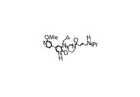 COc1cc(-c2c[nH]c(=O)c(N(CC3CC3)[C@H]3CCCN(C(=O)C=CCNC(C)C)C3)c2)ccn1